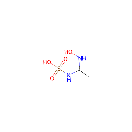 CC(NO)NS(=O)(=O)O